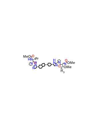 COC(=O)/N=C/C(C(=O)N1CCCC1c1ncc(-c2ccc(-c3ccc4cc(-c5cnc([C@@H]6CCCN6C(=O)[C@@H](NC(=O)OC)C(C)C)[nH]5)ccc4c3)cc2)[nH]1)[C@@H](C)OC